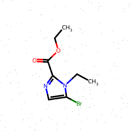 CCOC(=O)c1ncc(Br)n1CC